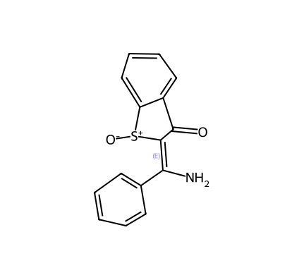 N/C(=C1\C(=O)c2ccccc2[S+]1[O-])c1ccccc1